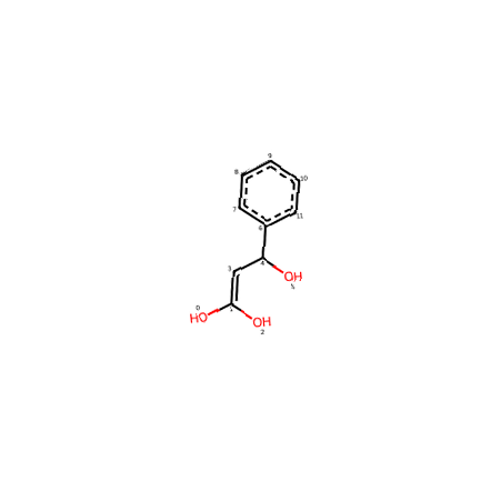 OC(O)=CC(O)c1ccccc1